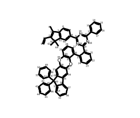 C=CC1=C(C)c2ccc(-c3nc(-c4ccccc4)nc(-c4ccccc4-c4cccc5c4Oc4cc6c(cc4O5)C(c4ccccc4)(c4ccccc4)c4ccccc4-6)n3)cc2C1(C)C